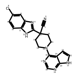 N#CC1(c2nc3cc(Cl)ccc3[nH]2)CCN(c2ncnc3[nH]ccc23)CC1